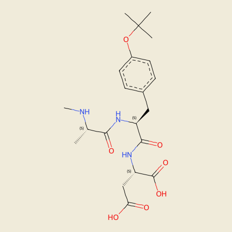 CN[C@@H](C)C(=O)N[C@@H](Cc1ccc(OC(C)(C)C)cc1)C(=O)N[C@@H](CC(=O)O)C(=O)O